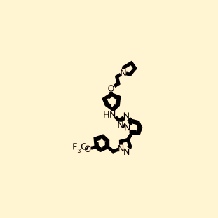 FC(F)(F)Oc1cccc(CN2CC(c3cccc4nc(Nc5ccc(OCCN6CCCC6)cc5)nn34)C=N2)c1